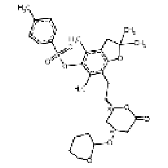 Cc1ccc(S(=O)(=O)Oc2c(C)c(CC[C@@H]3C[C@@H](OC4CCCCO4)CC(=O)O3)c3c(c2C)CC(C)(C)O3)cc1